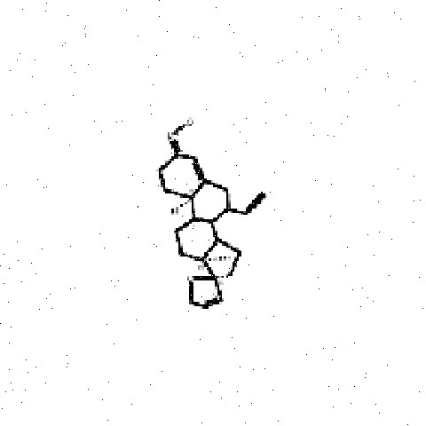 C=CC1CC2=CC(=NO)CC[C@@H]2C2CC[C@@]3(C)C(CC[C@@]34C=CCO4)C12